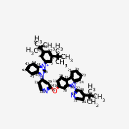 CC(C)(C)c1cc(-[n+]2cn(-c3ccnc(Oc4ccc5c6ccccc6n(-c6cc(C(C)(C)C)ccn6)c5c4)c3)c3ccccc32)cc(C(C)(C)C)c1